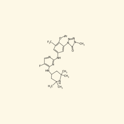 CC(C)Oc1c(-n2nnn(C)c2=O)cc(Nc2ncc(F)c(NC3CC(C)(C)NC(C)(C)C3)n2)cc1C(F)(F)F